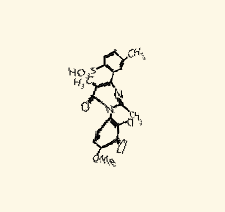 COc1ccc(-n2c(C)nc(-c3cc(C)ccc3S(=O)(=O)O)c(C)c2=O)c(Cl)c1Cl